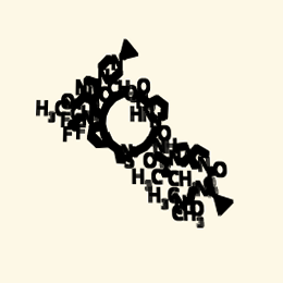 CO[C@@H](C)c1ncc(N2CCN(C3CC3)CC2)cc1-c1c2c3cc(ccc3n1CC(F)(F)F)-c1csc(n1)C[C@H](NC(=O)[C@H](C(C)C)N1CC[C@]3(CCN(C(=O)[C@H]4[C@@H](C5CC5)N4CC(=O)N(C)C)C3)C1)C(=O)N1CCC[C@H](N1)C(=O)OCC(C)(C)C2